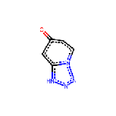 O=c1[c]cn2nn[nH]c2c1